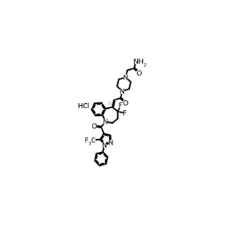 Cl.NC(=O)CN1CCN(C(=O)/C=C2/c3ccccc3N(C(=O)c3cnn(-c4ccccc4)c3C(F)(F)F)CCC2(F)F)CC1